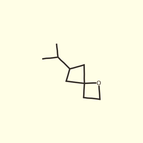 CC(C)C1CC2(CCO2)C1